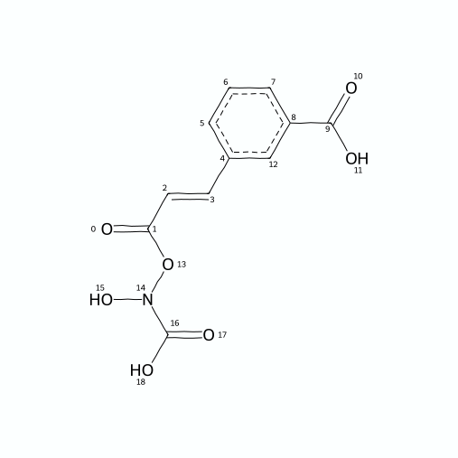 O=C(/C=C/c1cccc(C(=O)O)c1)ON(O)C(=O)O